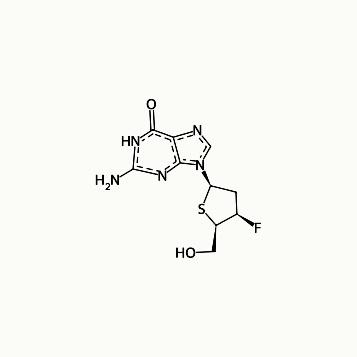 Nc1nc2c(ncn2[C@H]2C[C@@H](F)[C@@H](CO)S2)c(=O)[nH]1